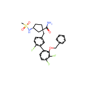 CS(=O)(=O)N[C@H]1CC[C@](Cc2ccc(F)c(-c3ccc(F)c(F)c3OCc3ccccc3)c2)(C(N)=O)C1